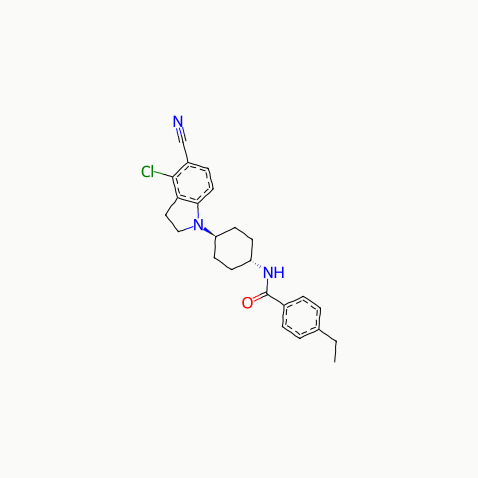 CCc1ccc(C(=O)N[C@H]2CC[C@H](N3CCc4c3ccc(C#N)c4Cl)CC2)cc1